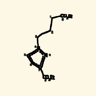 CCOC(=O)CCCn1ccc(C(=O)OCC)n1